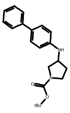 CC(C)(C)OC(=O)N1CCC(Nc2ccc(-c3ccccc3)cc2)C1